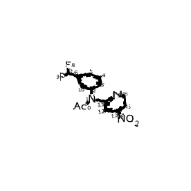 CC(=O)N(c1cccc(C(F)F)c1)c1cc([N+](=O)[O-])ccn1